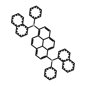 C1=CC2=C(N(c3ccccc3)c3cccc4ccccc34)C=CC3=CC=C4C(N(c5ccccc5)c5cccc6ccccc56)=CC=C1C4C32